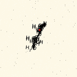 CC(C)(C)[C@@H](C(=O)N1C[C@H](O)C[C@H]1C(=O)NCc1ccc(C(N)=O)cc1)N(C=O)CCOCCCCOc1ccc(-c2ncc(N3C(=S)N(c4ccc(C#N)c(C(F)(F)F)c4F)C(=O)C3(C)C)cc2F)c(C(F)(F)F)c1